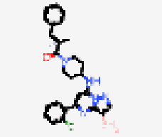 Bc1cnn2c(NC3CCN(C(=O)/C(C)=C/c4ccccc4)CC3)cc(-c3ccccc3Cl)nc12